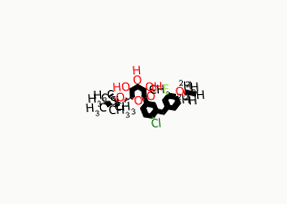 [2H]C([2H])([2H])C([2H])([2H])Oc1ccc(Cc2cc([C@]3(OC)O[C@H](CO[Si](C)(C)C(C)(C)C)[C@@H](O)[C@H](O)[C@H]3O)ccc2Cl)cc1F